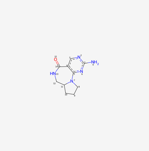 Nc1ncc2c(n1)N1CCCC1CNC2=O